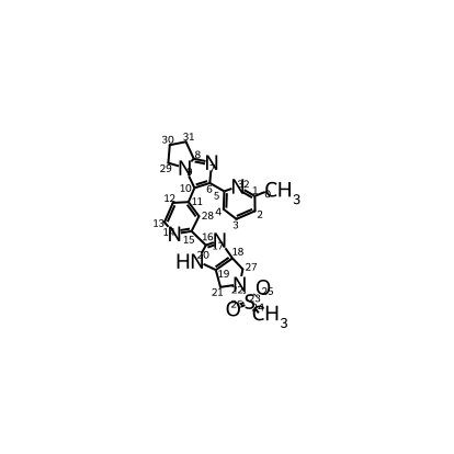 Cc1cccc(-c2nc3n(c2-c2ccnc(-c4nc5c([nH]4)CN(S(C)(=O)=O)C5)c2)CCC3)n1